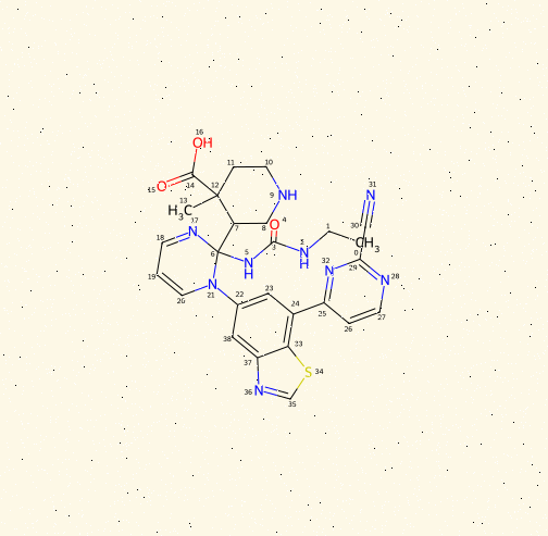 CCNC(=O)NC1(C2CNCCC2(C)C(=O)O)N=CC=CN1c1cc(-c2ccnc(C#N)n2)c2scnc2c1